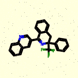 FC(F)(F)C1(c2ccccc2)Cc2ccccc2C(c2cnc3ccccc3c2)=N1